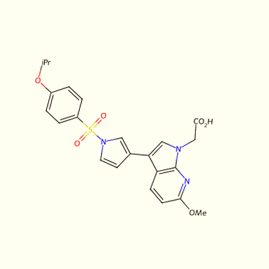 COc1ccc2c(-c3ccn(S(=O)(=O)c4ccc(OC(C)C)cc4)c3)cn(CC(=O)O)c2n1